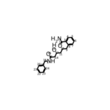 NC(=O)c1ccccc1CCC[C@@H](O)[CH]C(=O)NCc1ccccc1